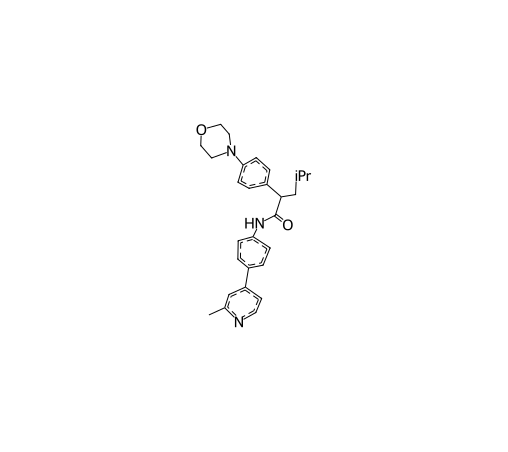 Cc1cc(-c2ccc(NC(=O)C(CC(C)C)c3ccc(N4CCOCC4)cc3)cc2)ccn1